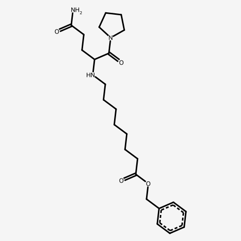 NC(=O)CCC(NCCCCCCCC(=O)OCc1ccccc1)C(=O)N1CCCC1